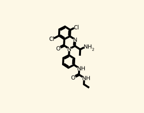 CCNC(=O)Nc1cccc(-n2c(C(C)N)nc3c(Cl)ccc(Cl)c3c2=O)c1